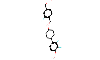 CCOc1ccc(C2CCC(OCc3ccc(CO)cc3F)CC2)c(F)c1F